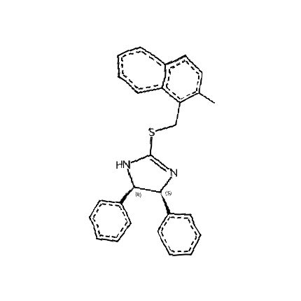 Cc1ccc2ccccc2c1CSC1=N[C@@H](c2ccccc2)[C@@H](c2ccccc2)N1